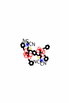 N#CC(C#N)=Nc1cc2c(s1)-c1cc3c(cc1OC2(C(=O)OCc1ccccc1)C(=O)OCc1ccccc1)-c1sc(N=C(C#N)C#N)cc1C(C(=O)OCc1ccccc1)(C(=O)OCc1ccccc1)O3